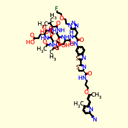 C=c1ccc(C#N)n/c1=C/C=C(\C)OCCCNC(=O)[C@H]1CSC(c2nc3ccc(NC(=O)C(Cc4cn(CCOCCF)nn4)NC(=O)C(CSSCC)NC(=O)[C@H](CC(=O)O)NC(=O)[C@@H](NC(=O)[C@H](CCC(=O)O)NC(=O)[C@H](CC(=O)O)NC(C)=O)C(C)C)cc3s2)=N1